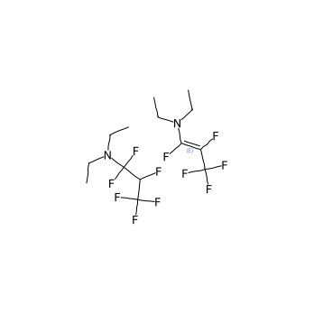 CCN(CC)/C(F)=C(\F)C(F)(F)F.CCN(CC)C(F)(F)C(F)C(F)(F)F